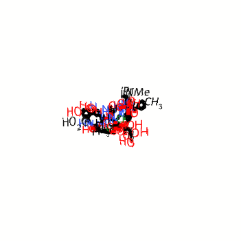 CN[C@@H](CC(C)C)C(=O)N[C@H]1C(=O)N[C@@H](CC(N)=O)C(=O)NC2C(=O)N[C@@H]3C(=O)N[C@@H](C(=O)N[C@@H](C(=O)O)c4cc(O)cc(O)c4-c4cc3ccc4O)[C@H](O)c3ccc(c(Cl)c3)Oc3cc2cc(c3OC2O[C@@H](CO)[C@@H](O)[C@@H](O)[C@H]2O[C@H]2CC(C)(NCCn3ccc(NC(=O)C4CCC(C)CC4)nc3=O)[C@@H](O)C(C)O2)Oc2ccc(cc2Cl)[C@H]1O